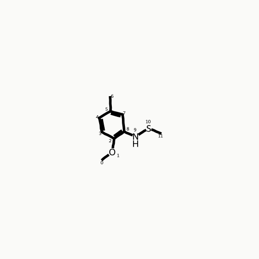 COc1ccc(C)cc1NSC